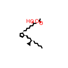 CCCCCC[C@@H](CC=C[C@H]1C=CC[C@@H]1CCCCCCC(O)COC(C)=O)C1CC1